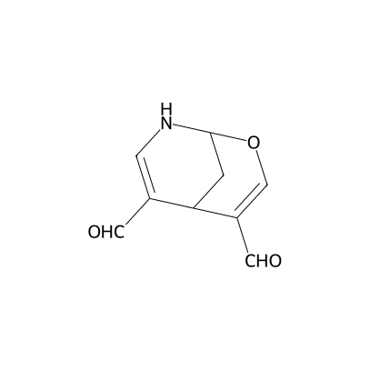 O=CC1=CNC2CC1C(C=O)=CO2